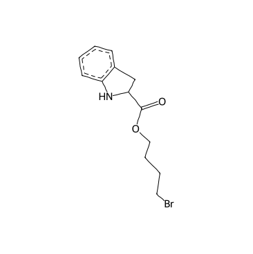 O=C(OCCCCBr)C1Cc2ccccc2N1